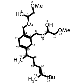 COCC(O)OCC1=C(COC(O)COC)CC(C(C)CC/C=C(\C)C(C)(C)C)=CC1